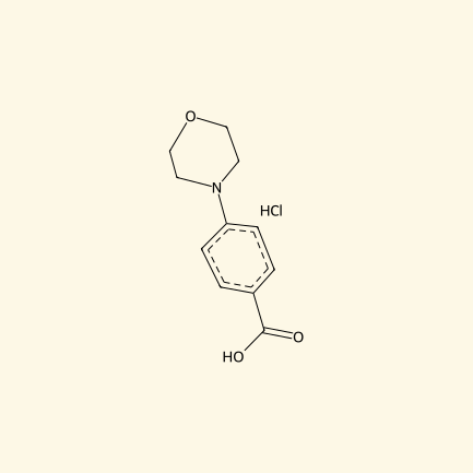 Cl.O=C(O)c1ccc(N2CCOCC2)cc1